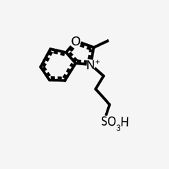 Cc1oc2ccccc2[n+]1CCCS(=O)(=O)O